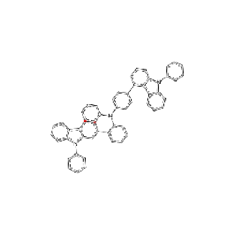 c1ccc(N(c2ccc(-c3cccc4c3c3ccccc3n4-c3ccccc3)cc2)c2ccccc2-c2ccc3c4ccccc4n(-c4ccccc4)c3c2)cc1